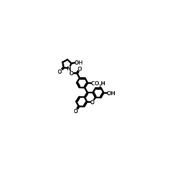 O=C(ON1C(=O)CCC1O)c1ccc(-c2c3ccc(=O)cc-3oc3cc(O)ccc23)c(C(=O)O)c1